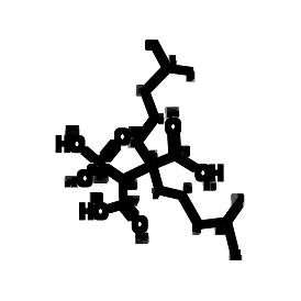 CC(C)CCCC(CCCC(C)C)(C(=O)O)C(C(=O)O)S(=O)(=O)O